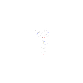 COc1cnc(C)c(F)c1-c1cc(C)ncc1C(=O)Nc1nnc(O[C@H]2CCC[C@@H](O)C2)s1